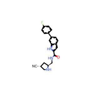 N#C[C@H]1CN[C@H](CNC(=O)c2cc3ccc(-c4ccc(F)cc4)cc3[nH]2)C1